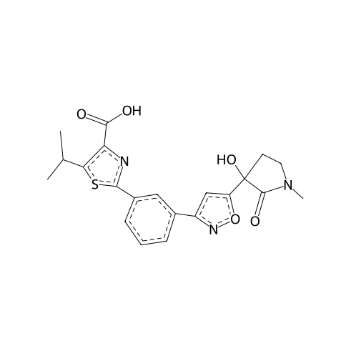 CC(C)c1sc(-c2cccc(-c3cc(C4(O)CCN(C)C4=O)on3)c2)nc1C(=O)O